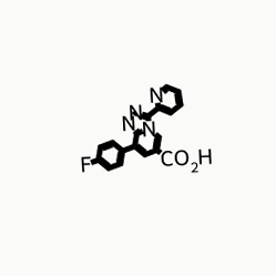 O=C(O)c1cc(-c2ccc(F)cc2)c2nnc(-c3ccccn3)n2c1